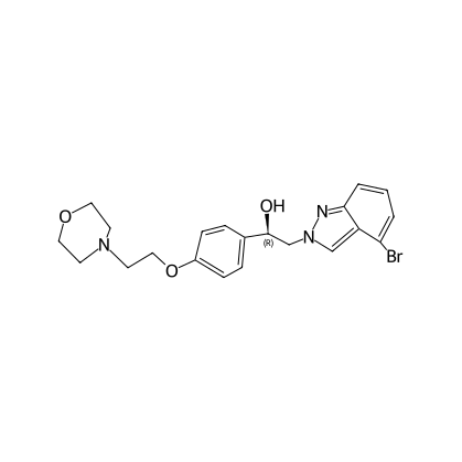 O[C@@H](Cn1cc2c(Br)cccc2n1)c1ccc(OCCN2CCOCC2)cc1